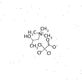 CC(O)C[N+](C)(C)C.O=C([O-])C(Cl)(Cl)Cl